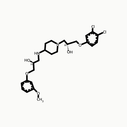 COc1cccc(OC[C@@H](O)CNC2CCN(C[C@@H](O)COc3ccc(Cl)c(Cl)c3)CC2)c1